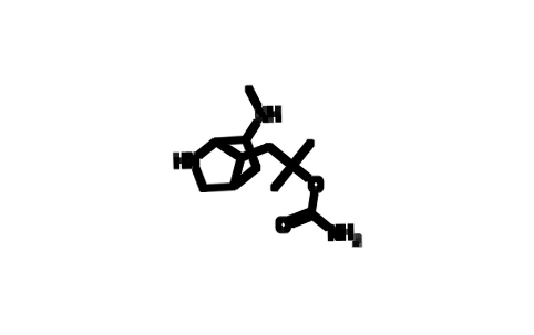 CNC1CC2CNC1C2CC(C)(C)OC(N)=O